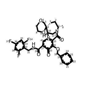 C[C@H]1CC[C@]2(COCCO2)[C@H]2CN1C(=O)c1c(OCc3ccccc3)c(=O)c(C(=O)NCc3c(F)cc(F)cc3F)cn12